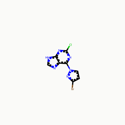 Clc1nc(-n2ccc(Br)n2)c2nc[nH]c2n1